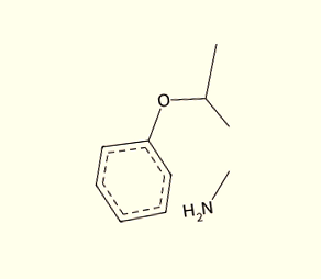 CC(C)Oc1ccccc1.CN